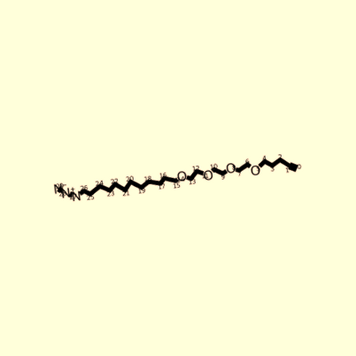 C#CCCCOCCOCCOCCOCCCCCCCCCCCCN=[N+]=[N-]